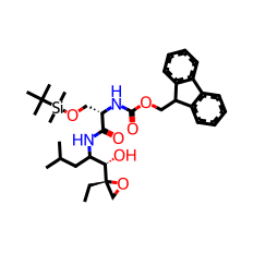 CC[C@]1([C@@H](O)C(CC(C)C)NC(=O)[C@H](CO[Si](C)(C)C(C)(C)C)NC(=O)OCC2c3ccccc3-c3ccccc32)CO1